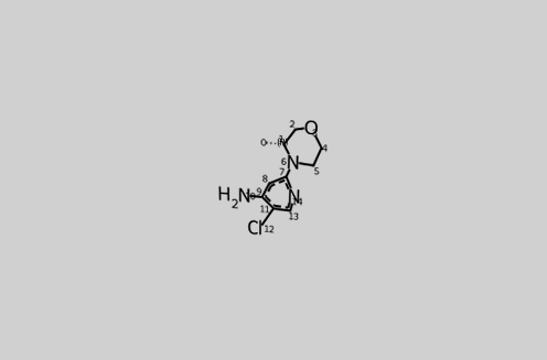 C[C@@H]1COCCN1c1cc(N)c(Cl)cn1